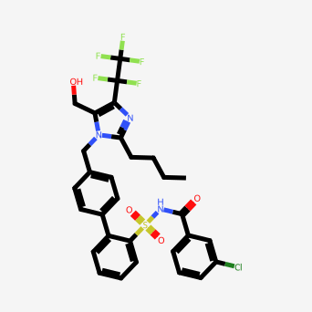 CCCCc1nc(C(F)(F)C(F)(F)F)c(CO)n1Cc1ccc(-c2ccccc2S(=O)(=O)NC(=O)c2cccc(Cl)c2)cc1